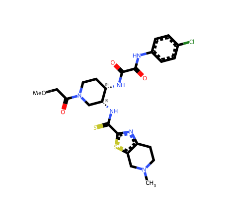 COCC(=O)N1CC[C@H](NC(=O)C(=O)Nc2ccc(Cl)cc2)[C@H](NC(=S)c2nc3c(s2)CN(C)CC3)C1